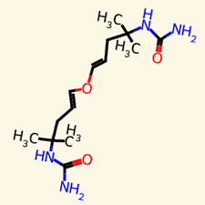 CC(C)(CC=COC=CCC(C)(C)NC(N)=O)NC(N)=O